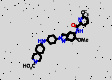 COc1cc2nn(C3CCC(NC4CCC5(CC4)CCN(C(=O)O)CC5)CC3)cc2cc1NC(=O)c1cccc(C(F)(F)F)n1